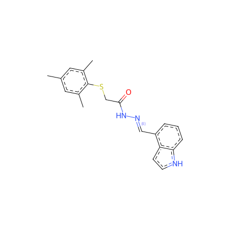 Cc1cc(C)c(SCC(=O)N/N=C/c2cccc3[nH]ccc23)c(C)c1